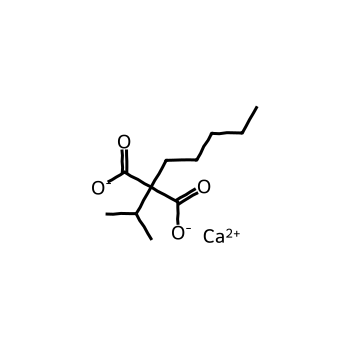 CCCCCC(C(=O)[O-])(C(=O)[O-])C(C)C.[Ca+2]